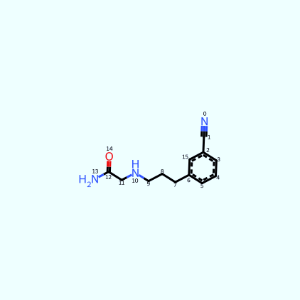 N#Cc1cccc(CCCNCC(N)=O)c1